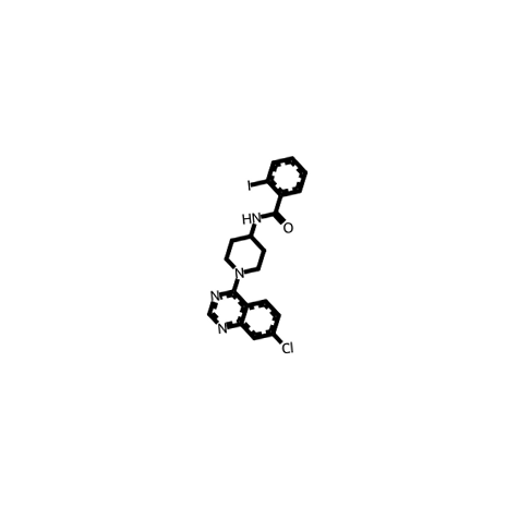 O=C(NC1CCN(c2ncnc3cc(Cl)ccc23)CC1)c1ccccc1I